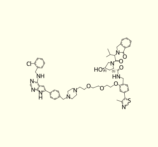 Cc1ncsc1-c1ccc(CNC(=O)[C@@H]2C[C@@H](O)CN2C(=O)C(C(C)C)N2Cc3ccccc3C2=O)c(OCCOCCOCCN2CCN(Cc3ccc(-c4cc5c(NCc6ccccc6Cl)ncnc5[nH]4)cc3)CC2)c1